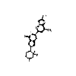 Cc1cn2nc(-c3nc4sc(C5CCNCC5(F)F)cc4c(=O)[nH]3)cc(C)c2n1